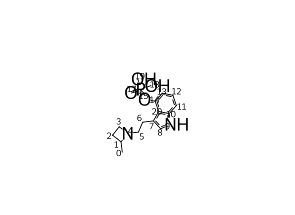 CC1CCN1CCc1c[nH]c2cccc(OP(=O)(O)O)c12